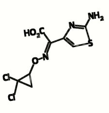 Nc1nc(/C(=N/OC2CC2(Cl)Cl)C(=O)O)cs1